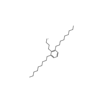 [CH2]CCCc1c(CCCCCCCCC)cccc1CCCCCCCCC